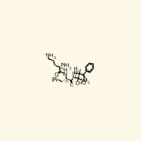 CC(C)C[C@H](NC(=O)[C@@H](N)CCCN)C(=O)NC(N)([C]=O)C(C)(N)C(=O)c1ccccc1